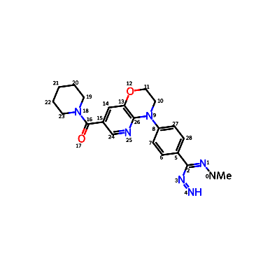 CN/N=C(\N=N)c1ccc(N2CCOc3cc(C(=O)N4CCCCC4)cnc32)cc1